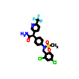 CS(=O)(=O)N(Cc1ccc(Cl)cc1Cl)c1ccc(C(C(N)=O)c2ccc(C(F)(F)F)nc2)cc1